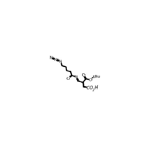 CC(C)(C)OC(=O)C(/C=N/C(=O)CCCCN=[N+]=[N-])CC(=O)O